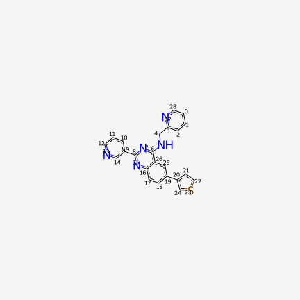 c1ccc(CNc2nc(-c3cccnc3)nc3ccc(-c4ccsc4)cc23)nc1